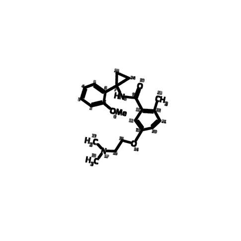 COc1ccccc1C1(NC(=O)c2cc(OCCN(C)C)ccc2C)CC1